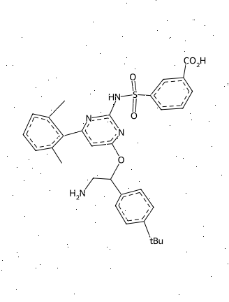 Cc1cccc(C)c1-c1cc(OC(CN)c2ccc(C(C)(C)C)cc2)nc(NS(=O)(=O)c2cccc(C(=O)O)c2)n1